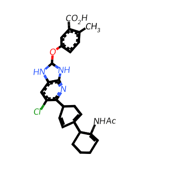 CC(=O)NC1=CCCCC1C1=CCC(c2nc3c(cc2Cl)NC(Oc2ccc(C)c(C(=O)O)c2)N3)C=C1